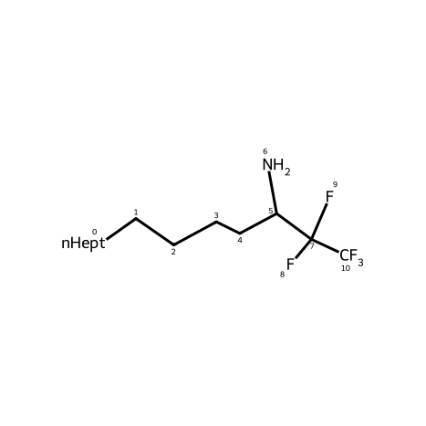 CCCCCCCCCCCC(N)C(F)(F)C(F)(F)F